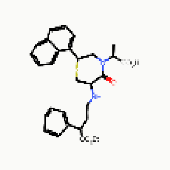 CCOC(=O)C(CCNC1CSC(c2cccc3ccccc23)CN(C(C)C(=O)O)C1=O)c1ccccc1